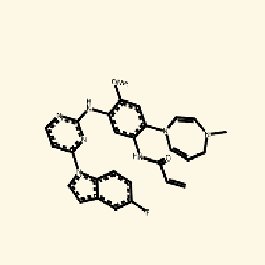 C=CC(=O)Nc1cc(Nc2nccc(-n3ccc4cc(F)ccc43)n2)c(OC)cc1N1C=CCN(C)C=C1